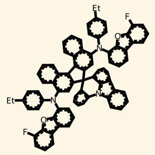 CCc1ccc(N(c2cc3c(c4ccccc24)-c2c(cc(N(c4ccc(CC)cc4)c4cccc5c4oc4c(F)cccc45)c4ccccc24)C32c3ccccc3-n3c4ccccc4c4cccc2c43)c2cccc3c2oc2c(F)cccc23)cc1